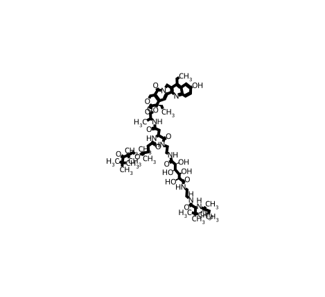 CCc1c2c(nc3ccc(O)cc13)-c1cc3c(c(=O)n1C2)COC(=O)[C@@]3(CC)OC(=O)C(C)NC(=O)CC(NC(=O)CCC(C)(C)OCC(C)(C)C(=O)C(C)(C)C)C(=O)NCCNC(=O)[C@H](O)[C@@H](O)[C@@H](O)[C@H](O)C(=O)NCCNC(=O)C(NC(C)(C)CC)C(C)(C)C